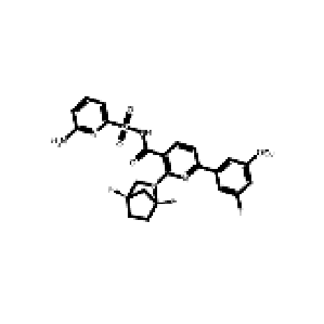 CC(C)COc1cc(F)cc(-c2ccc(C(=O)NS(=O)(=O)c3cccc(N)n3)c(N3C[C@H]4CC[C@@H]3C4)n2)c1